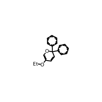 CCOC1=COC(c2ccccc2)(c2ccccc2)C=C1